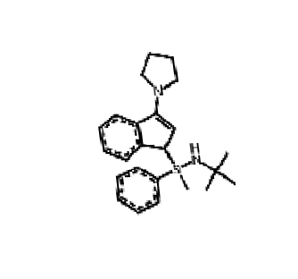 CC(C)(C)N[Si](C)(c1ccccc1)C1C=C(N2CCCC2)c2ccccc21